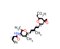 CC(/C=C/[C@@H]1C[C@]2(CO2)C[C@H](CC(=O)O)O1)=C\C[C@@H]1O[C@H](C)[C@H](NC(=O)/C=C\C(C)C)C[C@@H]1C